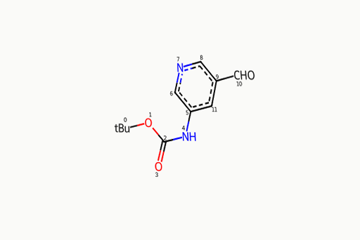 CC(C)(C)OC(=O)Nc1cncc(C=O)c1